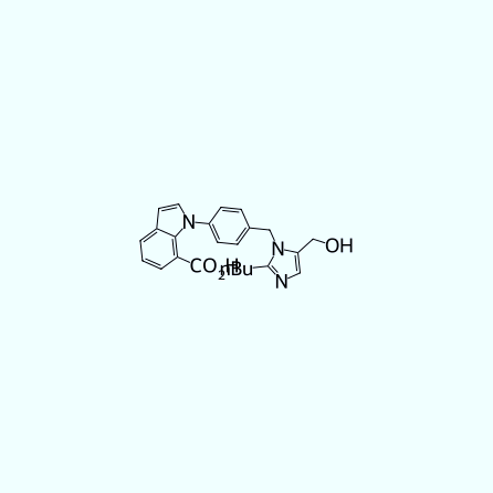 CCCCc1ncc(CO)n1Cc1ccc(-n2ccc3cccc(C(=O)O)c32)cc1